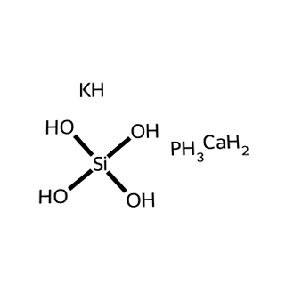 O[Si](O)(O)O.P.[CaH2].[KH]